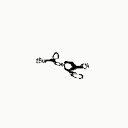 CC(C)(C)C(=O)ON1CCC(C#N)C(=O)C1